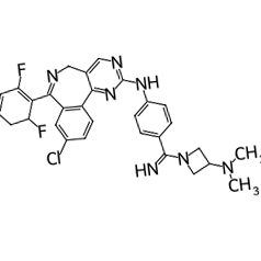 CN(C)C1CN(C(=N)c2ccc(Nc3ncc4c(n3)-c3ccc(Cl)cc3C(C3=C(F)C=CCC3F)=NC4)cc2)C1